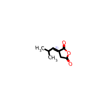 CC(C)/C=C1\CC(=O)OC1=O